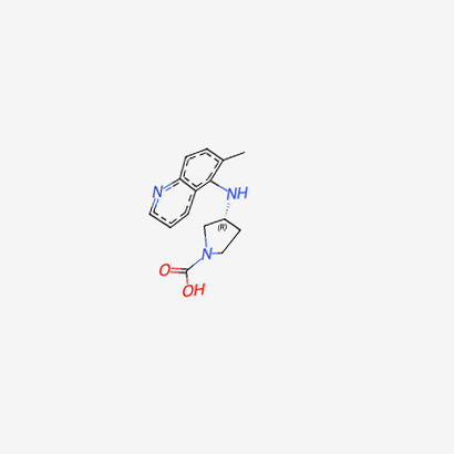 Cc1ccc2ncccc2c1N[C@@H]1CCN(C(=O)O)C1